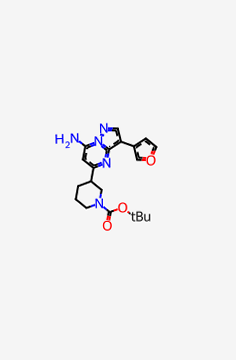 CC(C)(C)OC(=O)N1CCCC(c2cc(N)n3ncc(-c4ccoc4)c3n2)C1